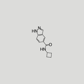 O=C(NC1CCC1)c1ccc2[nH]ncc2c1